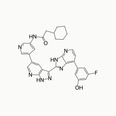 O=C(CC1CCCCC1)Nc1cncc(-c2cnc3[nH]nc(-c4nc5c(-c6cc(O)cc(F)c6)ccnc5[nH]4)c3c2)c1